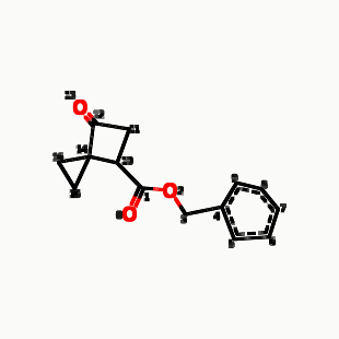 O=C(OCc1ccccc1)C1CC(=O)C12CC2